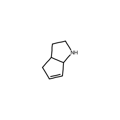 C1=CC2NCCC2C1